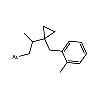 CC(=O)CC(C)C1(Cc2ccccc2C)CC1